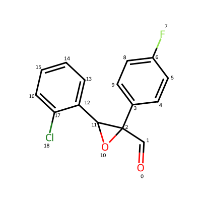 O=CC1(c2ccc(F)cc2)OC1c1ccccc1Cl